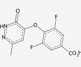 Cc1cc(Oc2c(F)cc(C(=O)O)cc2F)c(=O)[nH]n1